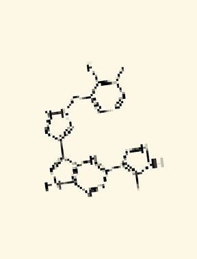 Cc1cccc(Cn2cc(-c3c[nH]c4ncc(-c5cn[nH]c5C)nc34)cn2)c1F